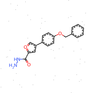 NNC(=O)c1cc(-c2ccc(OCc3ccccc3)cc2)co1